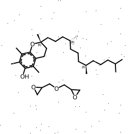 C(OCC1CO1)C1CO1.Cc1c(C)c2c(c(C)c1O)CC[C@@](C)(CCC[C@H](C)CCC[C@H](C)CCCC(C)C)O2